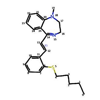 CCCCCSc1ccccc1/C=C/C1=NCCN(C)c2ccccc21